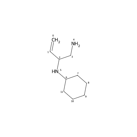 C=CC(CN)NC1CCCCC1